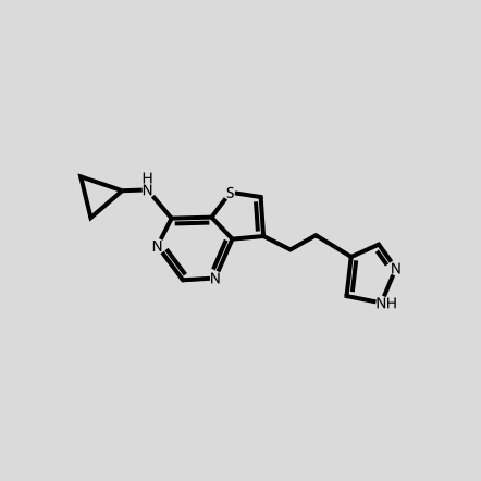 c1nc(NC2CC2)c2scc(CCc3cn[nH]c3)c2n1